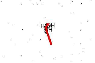 CCC=CCC=CCC=CCC=CCC=CCC=CCSCC(=O)NCCN(C)CCNC(=O)c1ccccc1O